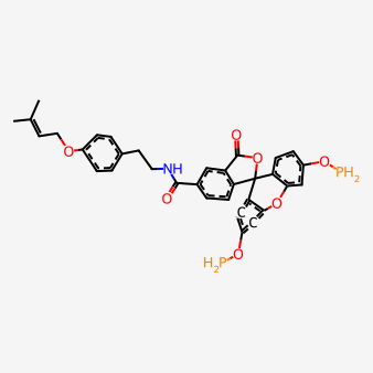 CC(C)=CCOc1ccc(CCNC(=O)c2ccc3c(c2)C(=O)OC32c3ccc(OP)cc3Oc3cc(OP)ccc32)cc1